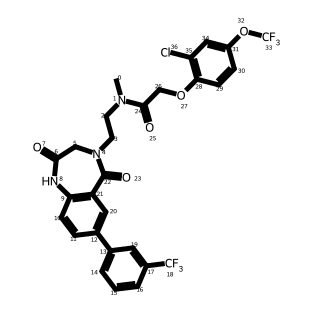 CN(CCN1CC(=O)Nc2ccc(-c3cccc(C(F)(F)F)c3)cc2C1=O)C(=O)COc1ccc(OC(F)(F)F)cc1Cl